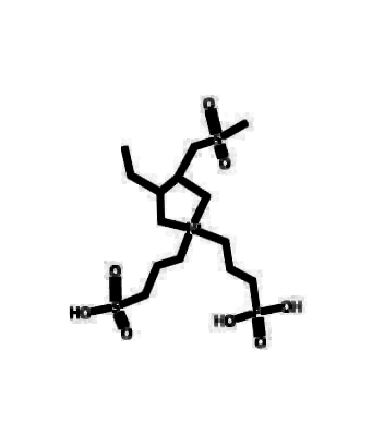 CCC1C[N+](CCCP(=O)(O)O)(CCCS(=O)(=O)O)CC1CS(C)(=O)=O